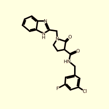 O=C(NCc1cc(F)cc(Cl)c1)C1CCN(Cc2nc3ccccc3[nH]2)C1=O